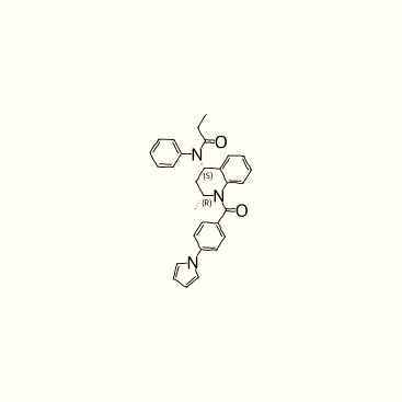 CCC(=O)N(c1ccccc1)[C@H]1C[C@@H](C)N(C(=O)c2ccc(-n3cccc3)cc2)c2ccccc21